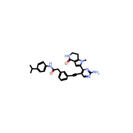 CC(C)c1ccc(NC(=O)Cc2cccc(C#Cc3cnc(N)nc3-c3cc4c(n3C)CCNC4=O)c2)cc1